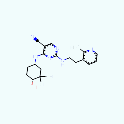 Cc1ncccc1CCNc1ncc(C#N)c(N[C@@H]2CC[C@H](O)C(C)(C)C2)n1